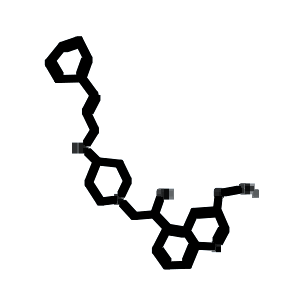 COc1cnc2cccc(C(O)CN3CCC(NCC=Cc4ccccc4)CC3)c2c1